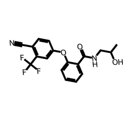 CC(O)CNC(=O)c1ccccc1Oc1ccc(C#N)c(C(F)(F)F)c1